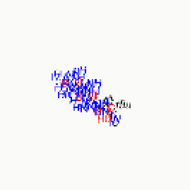 CC(C)(C)CCN(c1ncccn1)C(O)C(=O)NC(C(=O)NC(NC(=N)N)C(=O)NC(NC(=N)N)C(=O)NC(NC(=N)N)C(=O)NC(NC(=N)N)C(N)=O)c1ccccc1